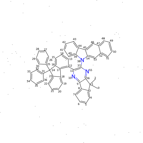 CC1(C)c2ccccc2-c2nc(-c3cccc4c3-c3ccccc3C4(c3ccccc3)c3ccccc3)c(-n3c4ccccc4c4cc5ccccc5cc43)nc21